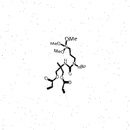 C=CC(=O)OCC(C)(COC(=O)C=C)NC(=O)N(CCCC)CCC[Si](OC)(OC)OC